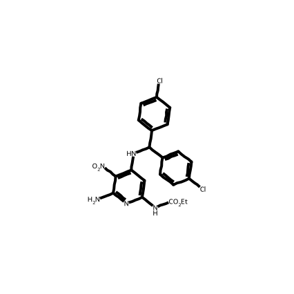 CCOC(=O)Nc1cc(NC(c2ccc(Cl)cc2)c2ccc(Cl)cc2)c([N+](=O)[O-])c(N)n1